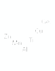 [Al].[Cu].[Ge].[Mn].[Ti].[Zn]